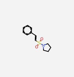 O=S(=O)(/C=C/c1ccccc1)N1CCCC1